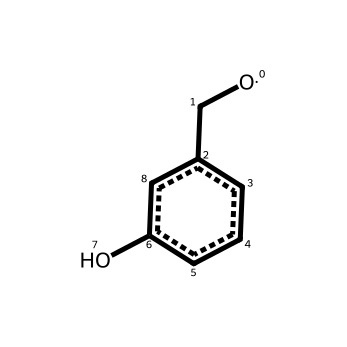 [O]Cc1cccc(O)c1